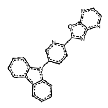 c1ccc2c(c1)c1ccccc1n2-c1ccc(-c2nc3nccnc3o2)nc1